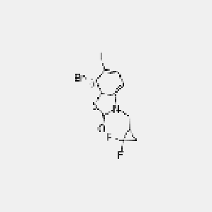 O=C1SC2C(=CC=C(I)[C@H]2Br)N1CC1CC1(F)F